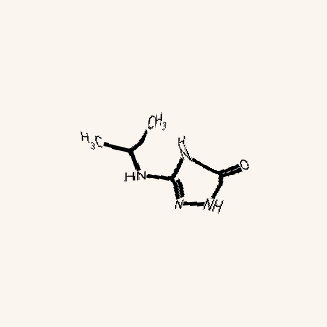 CC(C)Nc1n[nH]c(=O)[nH]1